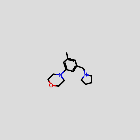 Cc1cc(CN2CCCC2)cc(N2CCOCC2)c1